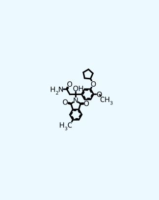 COc1ccc(C(O)(CC(N)=O)N2C(=O)c3ccc(C)cc3C2=O)cc1OC1CCCC1